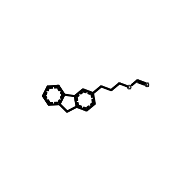 O=COCCCc1ccc2c(c1)-c1ccccc1C2